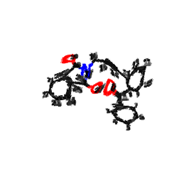 O=C(c1ccccc1)c1ccccc1C#CCN1C(=O)c2ccccc2C1=O